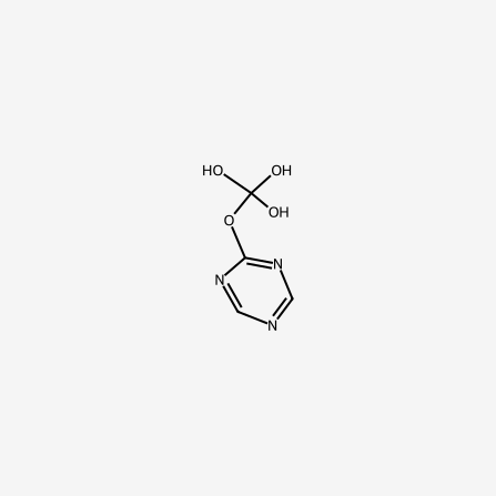 OC(O)(O)Oc1ncncn1